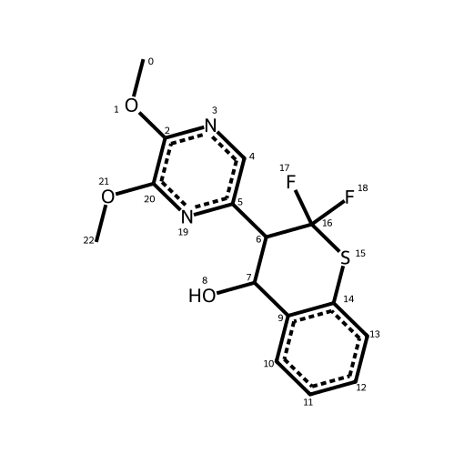 COc1ncc(C2C(O)c3ccccc3SC2(F)F)nc1OC